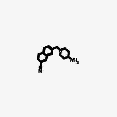 N#Cc1ccc2ccc(CN3CCC(N)CC3)cc2c1